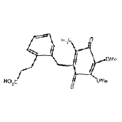 COC1=C(OC)C(=O)C(Cc2ccccc2CCC(=O)O)=C(C)C1=O